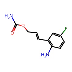 NC(=O)OCC=Cc1cc(F)ccc1N